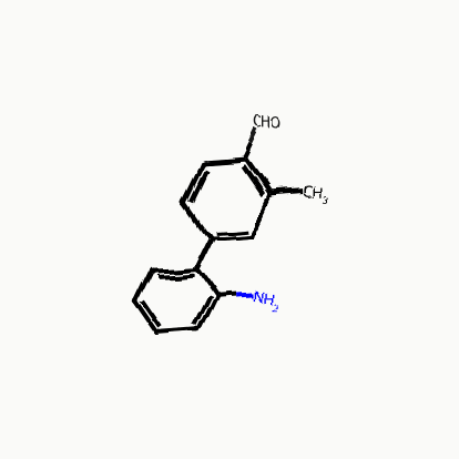 Cc1cc(-c2ccccc2N)ccc1C=O